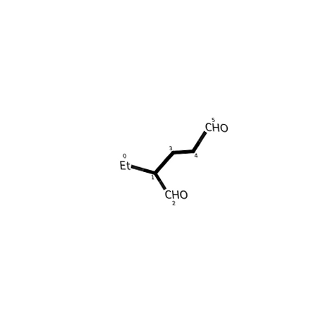 CCC(C=O)CCC=O